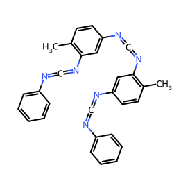 Cc1ccc(N=C=Nc2cc(N=C=Nc3ccccc3)ccc2C)cc1N=C=Nc1ccccc1